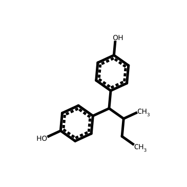 CCC(C)C(c1ccc(O)cc1)c1ccc(O)cc1